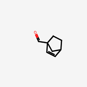 O=CC12[CH]CC(C=C1)C2